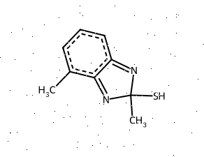 Cc1cccc2c1=NC(C)(S)N=2